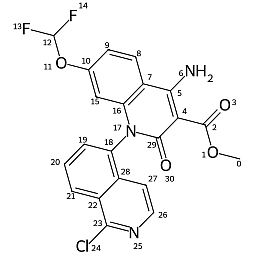 COC(=O)c1c(N)c2ccc(OC(F)F)cc2n(-c2cccc3c(Cl)nccc23)c1=O